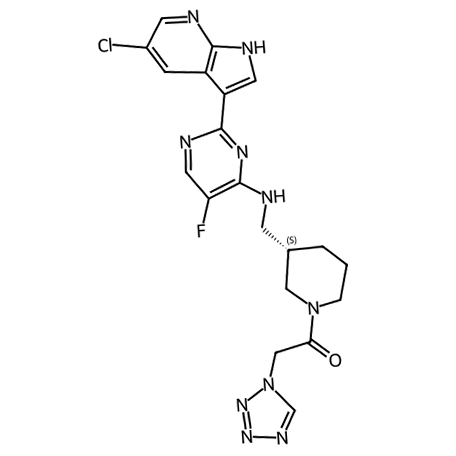 O=C(Cn1cnnn1)N1CCC[C@@H](CNc2nc(-c3c[nH]c4ncc(Cl)cc34)ncc2F)C1